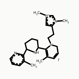 CC1=C(C2CCCC(c3ncccc3C)N2)N(CCc2c[n+](C)cn2C)CC=C1.[I-]